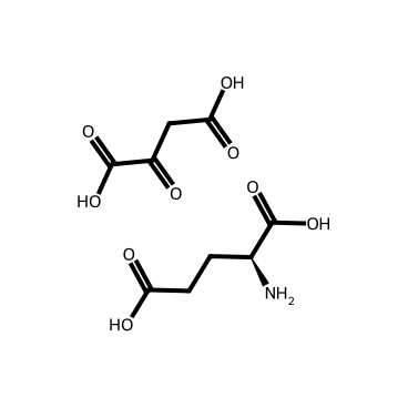 N[C@@H](CCC(=O)O)C(=O)O.O=C(O)CC(=O)C(=O)O